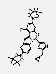 CC1(C)OB(c2cc(F)c3c(c2)OC(c2cnc(CC4CC4)s2)n2c-3cc3cc(B4OC(C)(C)C(C)(C)O4)ccc32)OC1(C)C